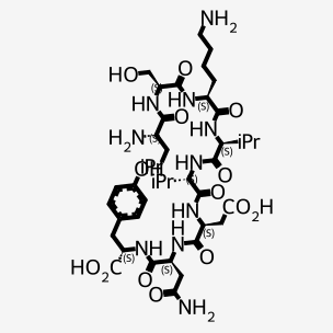 CC(C)C[C@H](N)C(=O)N[C@@H](CO)C(=O)N[C@@H](CCCCN)C(=O)N[C@H](C(=O)N[C@H](C(=O)N[C@@H](CC(=O)O)C(=O)N[C@@H](CC(N)=O)C(=O)N[C@@H](Cc1ccc(O)cc1)C(=O)O)C(C)C)C(C)C